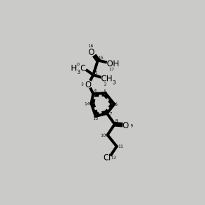 CC(C)(Oc1ccc(C(=O)CCCl)cc1)C(=O)O